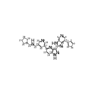 C1=CC(c2cncc3[nH]c(-c4n[nH]c5ccc(-c6cncc(CNCC7CCCC7)c6)nc45)nc23)=CC1